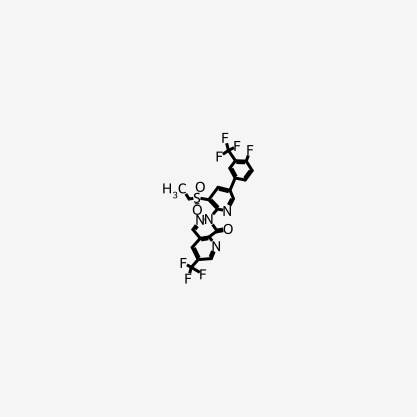 CCS(=O)(=O)c1cc(-c2ccc(F)c(C(F)(F)F)c2)cnc1-n1ncc2cc(C(F)(F)F)cnc2c1=O